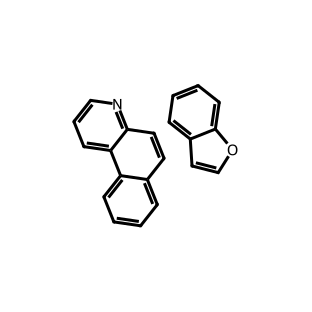 c1ccc2c(c1)ccc1ncccc12.c1ccc2occc2c1